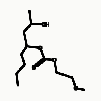 CCCCC(CC(C)O)OC(=O)OCCOC